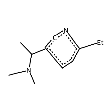 CCc1ccc(C(C)N(C)C)cn1